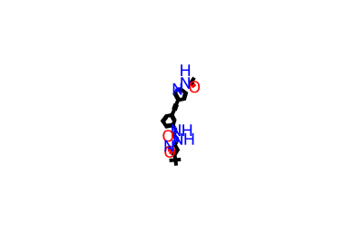 CC(=O)Nc1ccc(C#Cc2cccc(NC(=O)Nc3cc(C(C)(C)C)on3)c2)cn1